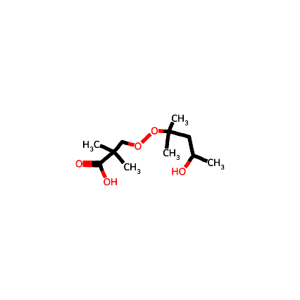 CC(O)CC(C)(C)OOCC(C)(C)C(=O)O